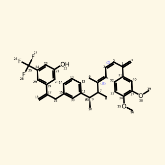 C=C(/C=C\C=C(/C)C(C)[C@@H](C)c1cccc(CC(=C)c2cc(O)cc(C(F)(F)F)c2)c1)c1ccc(OC)c(OC)c1